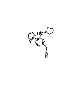 N#CCc1ccnc(NC2CCCC2)n1.c1cc2cc-2n1